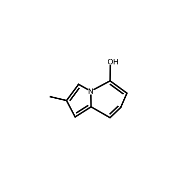 Cc1cc2cccc(O)n2c1